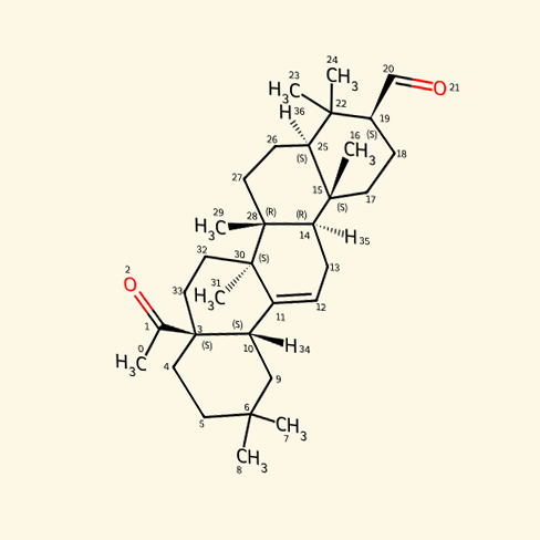 CC(=O)[C@]12CCC(C)(C)C[C@H]1C1=CC[C@@H]3[C@@]4(C)CC[C@H](C=O)C(C)(C)[C@@H]4CC[C@@]3(C)[C@]1(C)CC2